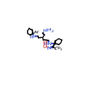 CC(=O)C1(NCCC(CCN)CCNC2(/C(C)=N\O)CCCCC2)CCCCC1